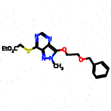 CCOC(=O)CSc1ncnc2c(OCCOCc3ccccc3)n(C)nc12